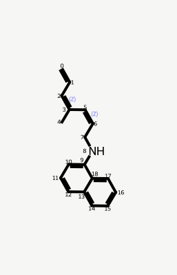 C=C/C=C(C)\C=C/CNc1cccc2ccccc12